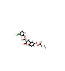 CC(=O)OCc1ccc2oc(=O)c(C(=O)Oc3cccc(Cl)c3)cc2c1